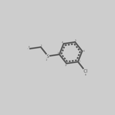 [CH2]CSc1cccc(Cl)c1